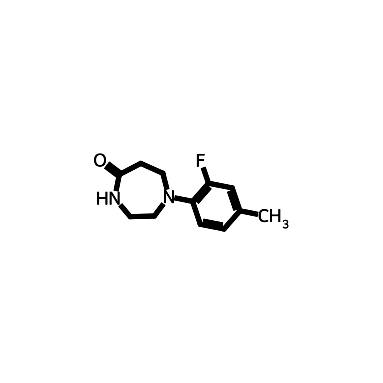 Cc1ccc(N2CCNC(=O)CC2)c(F)c1